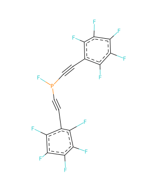 Fc1c(F)c(F)c(C#CP(F)C#Cc2c(F)c(F)c(F)c(F)c2F)c(F)c1F